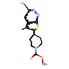 Cc1c(C2CCN(C(=O)OC(C)(C)C)CC2)sc2nnc(Cl)cc12